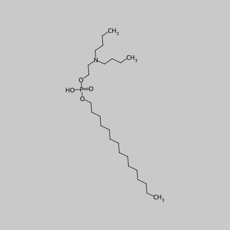 CCCCCCCCCCCCCCCOP(=O)(O)OCCN(CCCC)CCCC